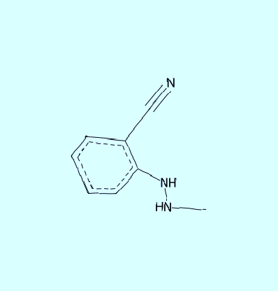 CNNc1ccccc1C#N